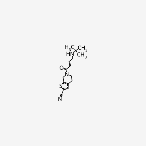 CC(C)(C)NC/C=C/C(=O)N1CCc2cc(C#N)sc2C1